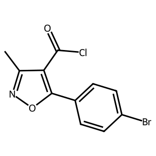 Cc1noc(-c2ccc(Br)cc2)c1C(=O)Cl